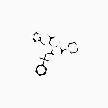 CC(C)(CC(=O)N(NC(=O)N1CCOCC1)[C@@H](Cc1c[nH]cn1)C(N)=O)c1ccccc1